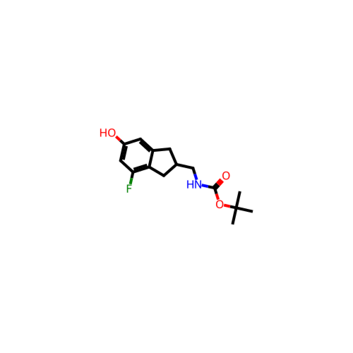 CC(C)(C)OC(=O)NCC1Cc2cc(O)cc(F)c2C1